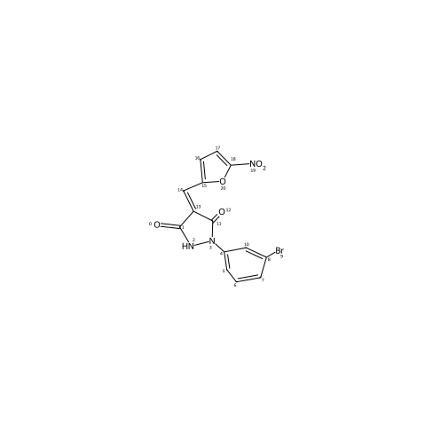 O=C1NN(c2cccc(Br)c2)C(=O)C1=Cc1ccc([N+](=O)[O-])o1